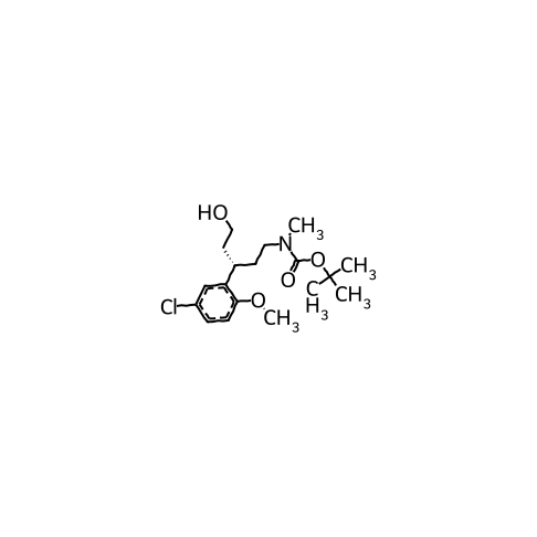 COc1ccc(Cl)cc1[C@H](CCO)CCN(C)C(=O)OC(C)(C)C